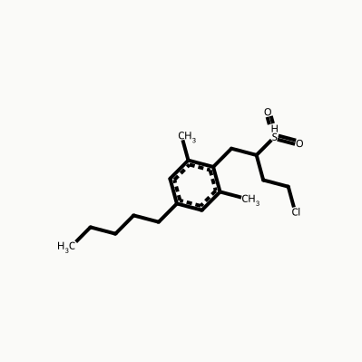 CCCCCc1cc(C)c(CC(CCCl)[SH](=O)=O)c(C)c1